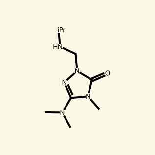 CC(C)NCn1nc(N(C)C)n(C)c1=O